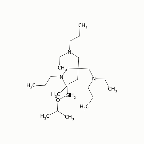 CCCN(CC)CC(CC[SiH2]OC(C)C)(CN(CC)CCC)CN(CC)CCC